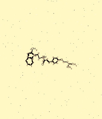 Cc1cc2ccccc2n1CCNC(=O)/C=C/c1ccc(OCCN(C)C)cc1